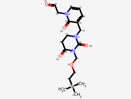 C[Si](C)(C)CCOCN1C(=O)CCN(Cc2cccn(CC=O)c2=O)C1=O